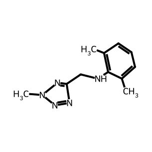 Cc1cccc(C)c1NCc1nnn(C)n1